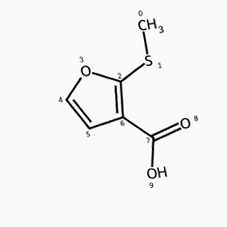 CSc1occc1C(=O)O